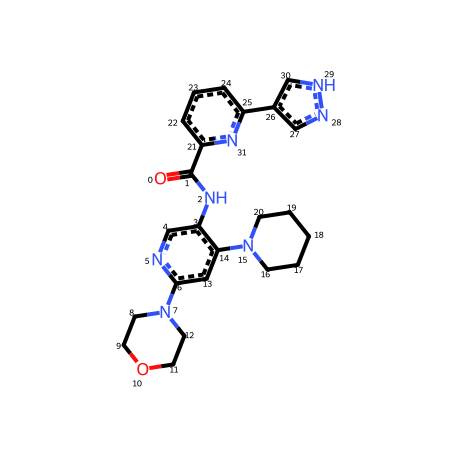 O=C(Nc1cnc(N2CCOCC2)cc1N1CCCCC1)c1cccc(-c2cn[nH]c2)n1